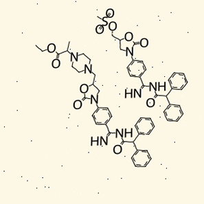 CCOC(=O)C(C)N1CCN(CC2CN(c3ccc(C(=N)NC(=O)C(c4ccccc4)c4ccccc4)cc3)C(=O)O2)CC1.CS(=O)(=O)OCC1CN(c2ccc(C(=N)NC(=O)C(c3ccccc3)c3ccccc3)cc2)C(=O)O1